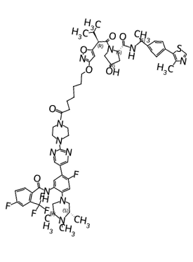 Cc1ncsc1-c1ccc([C@H](C)NC(=O)[C@@H]2C[C@@H](O)CN2C(=O)[C@@H](c2cc(OCCCCCCC(=O)N3CCN(c4ncc(-c5cc(NC(=O)c6ccc(F)cc6C(F)(F)F)c(N6C[C@@H](C)N(C)[C@@H](C)C6)cc5F)cn4)CC3)no2)C(C)C)cc1